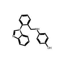 Oc1ccc(NCc2ccccc2-n2cnc3ccccc32)cc1